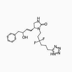 O=C1NC[C@H](C=CC(O)Cc2ccccc2)N1CCC(F)(F)CCCc1nnn[nH]1